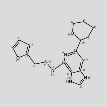 c1coc(CNNc2nc(C3CCCCO3)nc3nc[nH]c23)c1